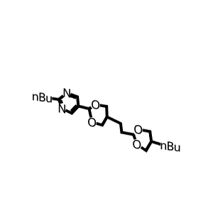 CCCCc1ncc(C2OCC(CCC3OCC(CCCC)CO3)CO2)cn1